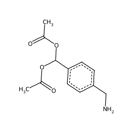 CC(=O)OC(OC(C)=O)c1ccc(CN)cc1